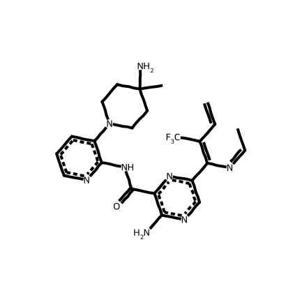 C=C/C(=C(\N=C/C)c1cnc(N)c(C(=O)Nc2ncccc2N2CCC(C)(N)CC2)n1)C(F)(F)F